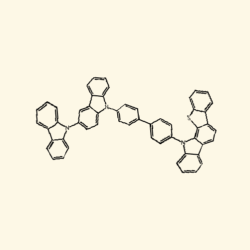 c1ccc2c(c1)sc1c2ccc2c3ccccc3n(-c3ccc(-c4ccc(-n5c6ccccc6c6cc(-n7c8ccccc8c8ccccc87)ccc65)cc4)cc3)c21